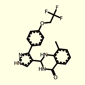 Cc1cccc2c1NC(c1c[nH]nc1-c1ccc(OCC(F)(F)F)cc1)NC2=O